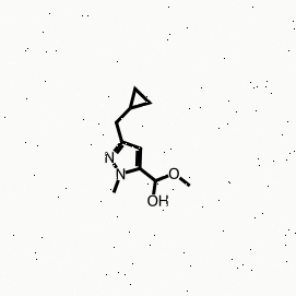 COC(O)c1cc(CC2CC2)nn1C